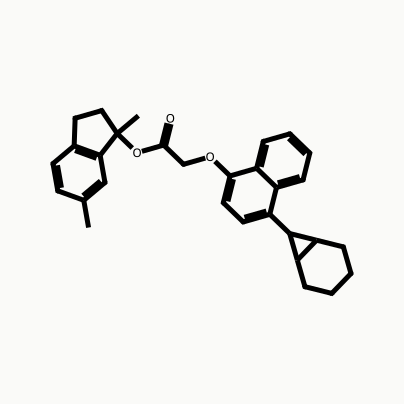 Cc1ccc2c(c1)C(C)(OC(=O)COc1ccc(C3C4CCCCC43)c3ccccc13)CC2